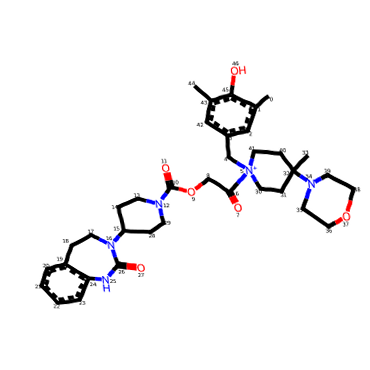 Cc1cc(C[N+]2(C(=O)COC(=O)N3CCC(N4CCc5ccccc5NC4=O)CC3)CCC(C)(N3CCOCC3)CC2)cc(C)c1O